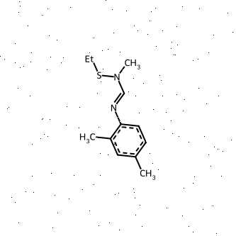 CCSN(C)C=Nc1ccc(C)cc1C